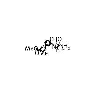 CCCC(C(N)=O)N(C)Cc1cc(N2CCC(C(OC)OC)C2)ccc1C=O